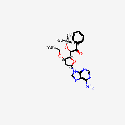 CSCO[C@H]1C[C@H](n2cnc3c(N)ncnc32)O[C@@H]1C(O[Si](C)(C)C(C)(C)C)C(=O)c1ccccc1